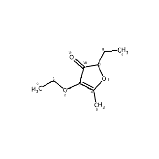 CCOC1=C(C)OC(CC)C1=O